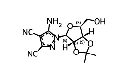 CC1(C)O[C@@H]2[C@H](O1)[C@@H](n1nc(C#N)c(C#N)c1N)O[C@H]2CO